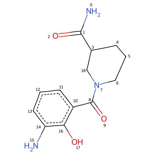 NC(=O)C1CCCN(C(=O)c2cccc(N)c2O)C1